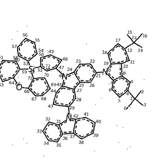 CC(C)(C)c1ccc2c(c1)c1cc(C(C)(C)C)ccc1n2-c1ccc2c(c1)c1cc(-n3c4ccccc4c4ccccc43)ccc1n2-c1cccc([Si]2(c3ccccc3)c3ccccc3Oc3ccccc32)c1